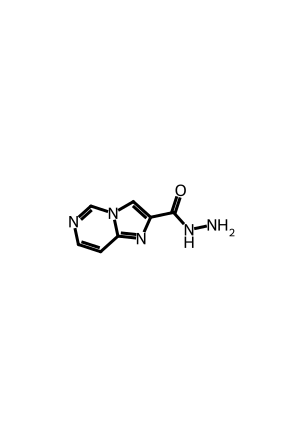 NNC(=O)c1cn2cnccc2n1